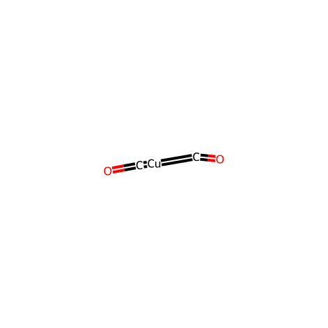 O=[C]=[Cu]=[C]=O